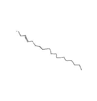 [CH2]C/C=C/CCCCCCCCCCCCCC